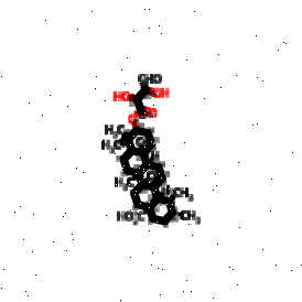 C[C@H]1[C@H](C)CC[C@]2(C(=O)O)CC[C@]3(C)C(=CC[C@@H]4[C@@]5(C)CC[C@H](OC(=O)C(O)C(O)C=O)C(C)(C)C5CC[C@]43C)[C@H]12